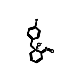 O=S=C1C=CC=C[N+]1([O-])Cc1ccc(F)cc1